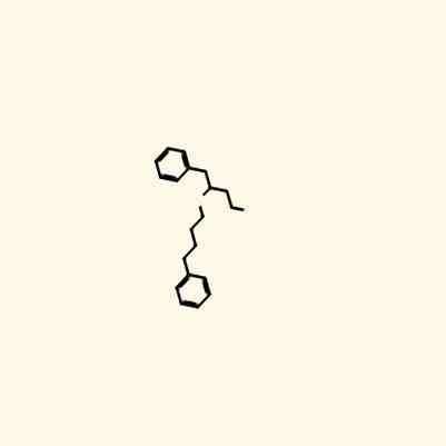 CCCC(Cc1ccccc1)NCCCCc1ccccc1